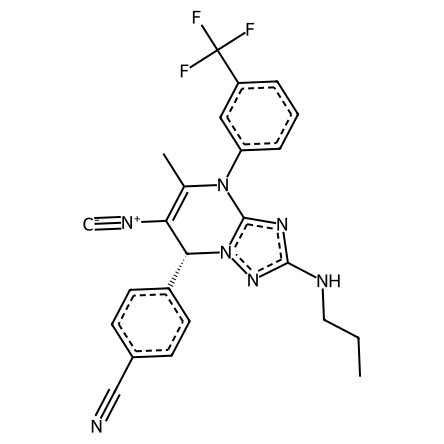 [C-]#[N+]C1=C(C)N(c2cccc(C(F)(F)F)c2)c2nc(NCCC)nn2[C@@H]1c1ccc(C#N)cc1